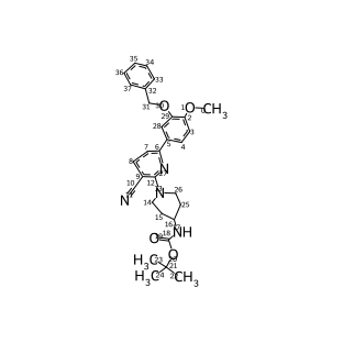 COc1ccc(-c2ccc(C#N)c(N3CCC(NC(=O)OC(C)(C)C)CC3)n2)cc1OCc1ccccc1